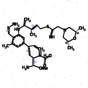 C=C/C(=C\C(N[SH](=O)=O)=C(/N)OC)c1cc(C)c(/C=N\N)c(NC(=C)/C(C)=C/CSC(=N)CN2C[C@@H](C)O[C@@H](C)C2)c1